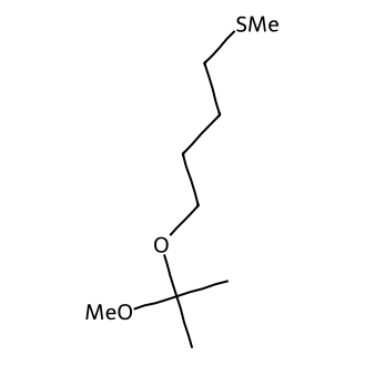 COC(C)(C)OCCCCSC